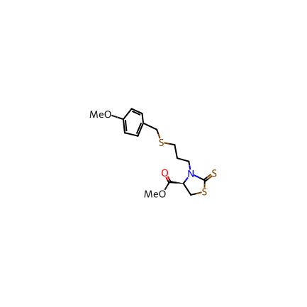 COC(=O)[C@@H]1CSC(=S)N1CCCSCc1ccc(OC)cc1